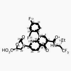 CC[C@@H](NC(=O)c1cn(-c2ccc(F)cc2F)c2nc(N3C[C@@H](C(=O)O)OC3=O)ccc2c1=O)C(F)(F)F